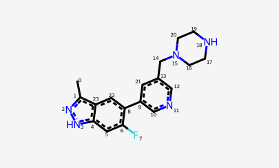 Cc1n[nH]c2cc(F)c(-c3cncc(CN4CCNCC4)c3)cc12